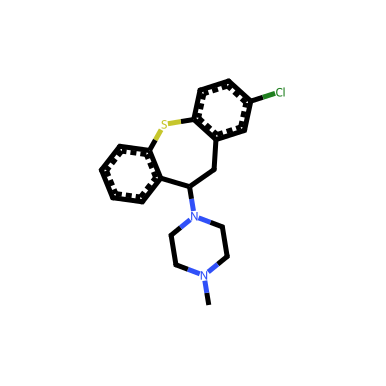 CN1CCN(C2Cc3cc(Cl)ccc3Sc3ccccc32)CC1